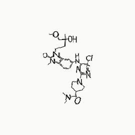 COCC(C)(O)CCn1c(=O)n(C)c2ccc(Nc3nc(N4CCC(C(=O)N(C)C)CC4)ncc3Cl)cc21